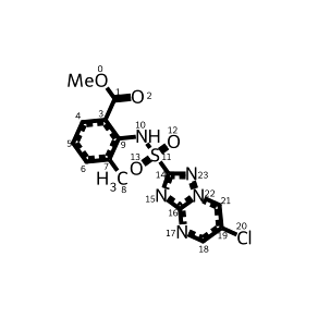 COC(=O)c1cccc(C)c1NS(=O)(=O)c1nc2ncc(Cl)cn2n1